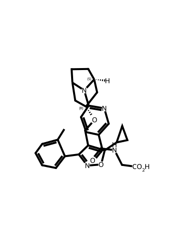 Cc1ccccc1-c1noc(C2CC2)c1CO[C@@H]1CC2CC[C@@H](C1)N2c1ccc(C(=O)NCC(=O)O)cn1